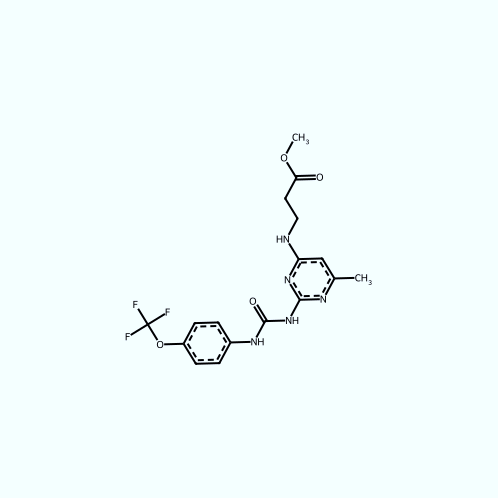 COC(=O)CCNc1cc(C)nc(NC(=O)Nc2ccc(OC(F)(F)F)cc2)n1